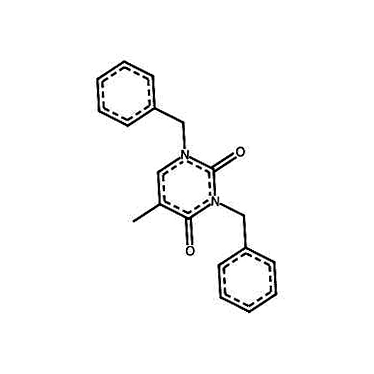 Cc1cn(Cc2ccccc2)c(=O)n(Cc2ccccc2)c1=O